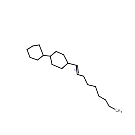 CCCCCCC/C=C/C1CCC(C2CCCCC2)CC1